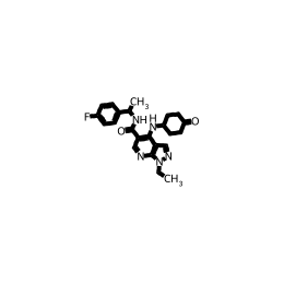 CCn1ncc2c(NC3CCC(=O)CC3)c(C(=O)NC(C)c3ccc(F)cc3)cnc21